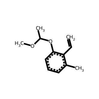 C=Cc1c(C)cccc1OC(C)OC